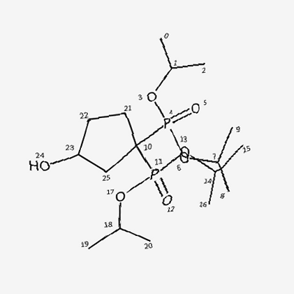 CC(C)OP(=O)(OC(C)C)C1(P(=O)(OC(C)C)OC(C)C)CCC(O)C1